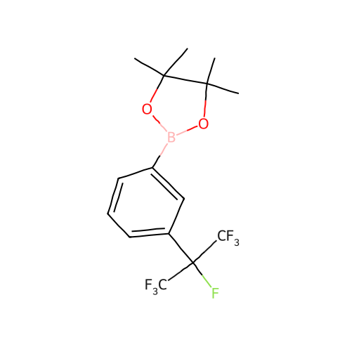 CC1(C)OB(c2cccc(C(F)(C(F)(F)F)C(F)(F)F)c2)OC1(C)C